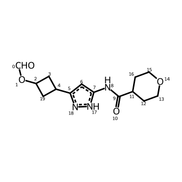 O=COC1CC(c2cc(NC(=O)C3CCOCC3)[nH]n2)C1